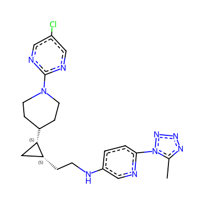 Cc1nnnn1-c1ccc(NCC[C@@H]2C[C@@H]2C2CCN(c3ncc(Cl)cn3)CC2)cn1